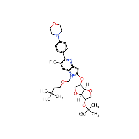 CC(C)(C)[Si](C)(C)OC1CO[C@H]2[C@@H]1OC[C@H]2Oc1cc2nc(-c3ccc(N4CCOCC4)cc3)c(C(F)(F)F)cc2n1COCC[Si](C)(C)C